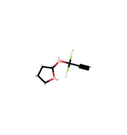 C#CC(F)(F)OC1CCCO1